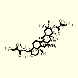 C=CCC1[C@@]2(C=C)CC[C@H](O)[C@](C)(COC(=O)/C(C)=C/C)C2CC[C@@]1(C)[C@@]1(C)CC2CC(C)(C)[C@@H](OC(=O)/C(C)=C/C)[C@H](O)[C@]2(CO)[C@H](O)C1